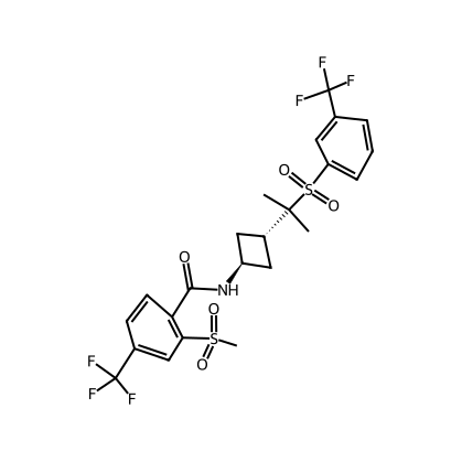 CC(C)([C@H]1C[C@H](NC(=O)c2ccc(C(F)(F)F)cc2S(C)(=O)=O)C1)S(=O)(=O)c1cccc(C(F)(F)F)c1